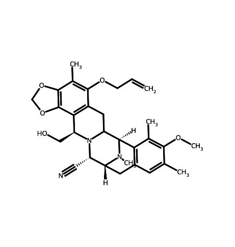 C=CCOc1c(C)c2c(c3c1CC1[C@H]4c5c(cc(C)c(OC)c5C)C[C@H]([C@H](C#N)N1[C@H]3CO)N4C)OCO2